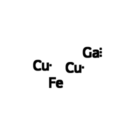 [Cu].[Cu].[Fe].[Ga]